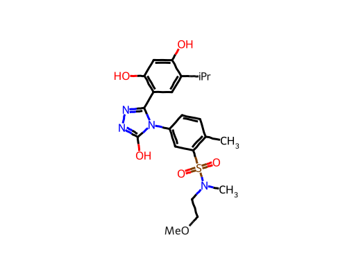 COCCN(C)S(=O)(=O)c1cc(-n2c(O)nnc2-c2cc(C(C)C)c(O)cc2O)ccc1C